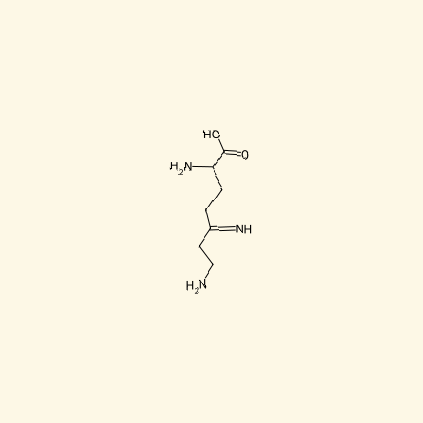 N=C(CCN)CCC(N)C(=O)O